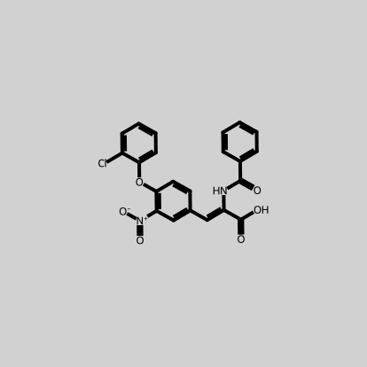 O=C(O)/C(=C/c1ccc(Oc2ccccc2Cl)c([N+](=O)[O-])c1)NC(=O)c1ccccc1